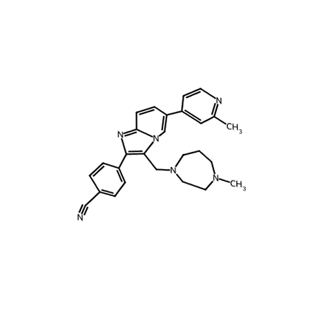 Cc1cc(-c2ccc3nc(-c4ccc(C#N)cc4)c(CN4CCCN(C)CC4)n3c2)ccn1